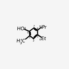 [CH2]Cc1cc(C)c(O)cc1C(C)C